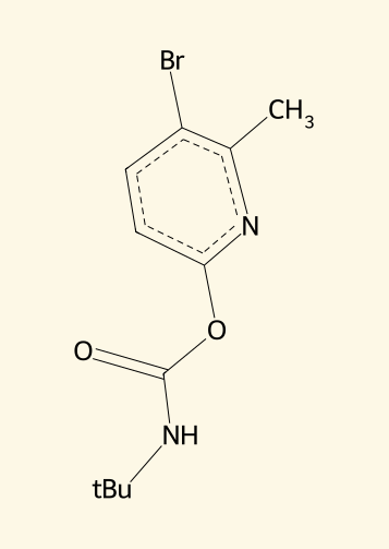 Cc1nc(OC(=O)NC(C)(C)C)ccc1Br